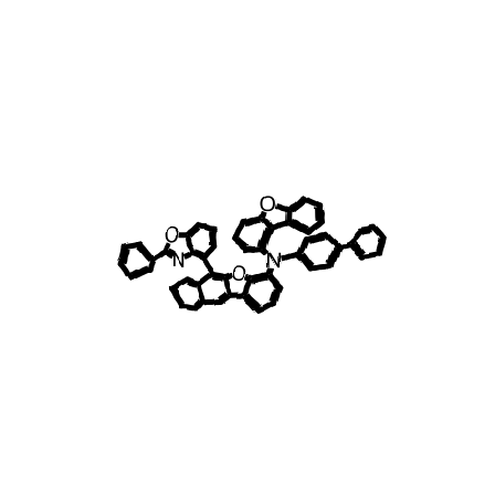 c1ccc(-c2ccc(N(c3cccc4c3oc3c(-c5cccc6oc(-c7ccccc7)nc56)c5ccccc5cc34)c3cccc4oc5ccccc5c34)cc2)cc1